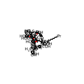 Cc1cc(O)c(Cl)c([C@@H]2NC(=O)[C@H](NC(=O)[C@@H](c3ccc(O)c(O)c3)N(C)C)Cc3ccc(cc3)Oc3cc4cc(c3O[C@@H]3O[C@H](C(=O)O)[C@@H](O)[C@H](O)[C@H]3NC(=O)CCCCCCCCC(C)C)Oc3ccc(cc3Cl)[C@@H](O)[C@@H]3NC(=O)[C@H](NC(=O)[C@@H]4NC2=O)c2ccc(O)c(c2)-c2c(O[C@H]4O[C@H](CO)[C@@H](O)[C@H](O)[C@@H]4O)cc(O)cc2[C@@H](C(=O)O)NC3=O)c1